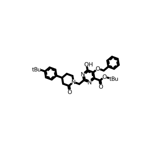 CC(C)(C)OC(=O)c1nc(CN2CCC(c3ccc(C(C)(C)C)cc3)CC2=O)nc(O)c1OCc1ccccc1